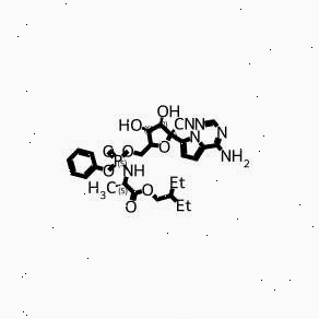 CCC(CC)COC(=O)[C@H](C)N[P@](=O)(OCC1O[C@@](C#N)(c2ccc3c(N)ncnn23)[C@H](O)[C@@H]1O)Oc1ccccc1